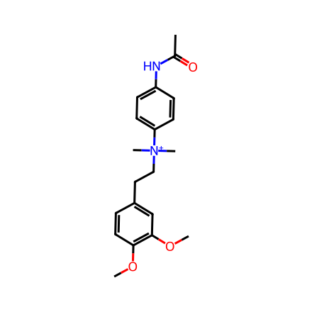 COc1ccc(CC[N+](C)(C)c2ccc(NC(C)=O)cc2)cc1OC